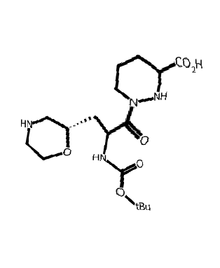 CC(C)(C)OC(=O)NC(C[C@H]1CNCCO1)C(=O)N1CCCC(C(=O)O)N1